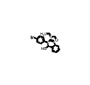 CCOC=O.OC1c2ccccc2N=CN1c1ccc(Br)cc1